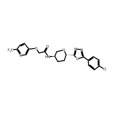 O=C(COc1ccc(C(F)(F)F)nc1)N[C@@H]1CC[C@@H](c2nnc(-c3ccc(Cl)cc3)o2)OC1